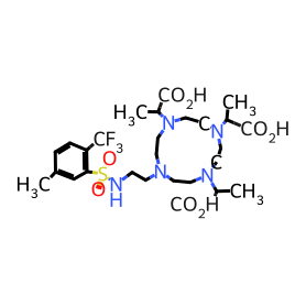 Cc1ccc(C(F)(F)F)c(S(=O)(=O)NCCN2CCN(C(C)C(=O)O)CCN(C(C)C(=O)O)CCN(C(C)C(=O)O)CC2)c1